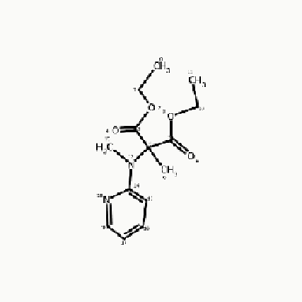 CCOC(=O)C(C)(C(=O)OCC)N(C)c1ccccn1